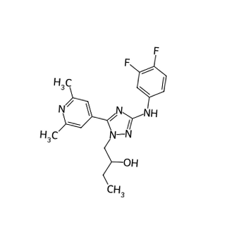 CCC(O)Cn1nc(Nc2ccc(F)c(F)c2)nc1-c1cc(C)nc(C)c1